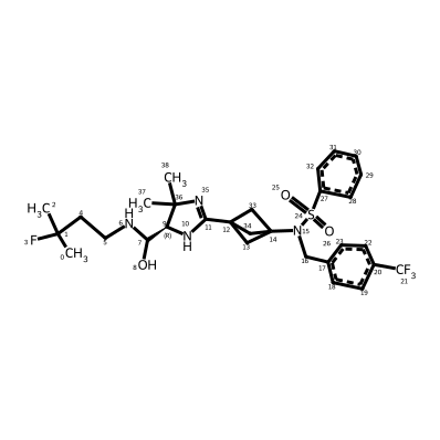 CC(C)(F)CCNC(O)[C@@H]1NC(C23CC(N(Cc4ccc(C(F)(F)F)cc4)S(=O)(=O)c4ccccc4)(C2)C3)=NC1(C)C